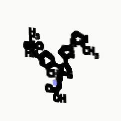 Cc1cc(NS(C)(=O)=O)ccc1-c1c(-c2ccc(-n3ccnc3C)s2)csc1/C=C/C(=O)O